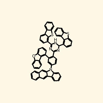 c1ccc2cc3c(cc2c1)c1ccccc1n3-c1ccc(C2=NC(c3cccc4sc5ccccc5c34)NC(c3cccc4c3sc3ccccc34)=N2)c(-c2cccc3oc4ccccc4c23)c1